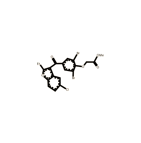 CCc1oc2ccc(Cl)cc2c1C(=O)c1cc(Br)c(OCC(=O)OC)c(Br)c1